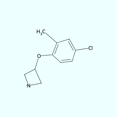 Cc1cc(Cl)ccc1OC1C[N]C1